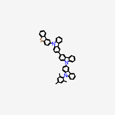 Cc1cc(C)c(-n2c3ccccc3c3cc(-n4c5ccccc5c5cc(-c6ccc7c(c6)c6ccccc6n7-c6ccc7sc8ccccc8c7c6)ccc54)ccc32)c(C)c1